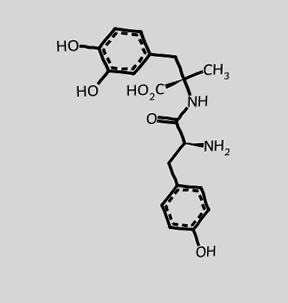 C[C@@](Cc1ccc(O)c(O)c1)(NC(=O)[C@@H](N)Cc1ccc(O)cc1)C(=O)O